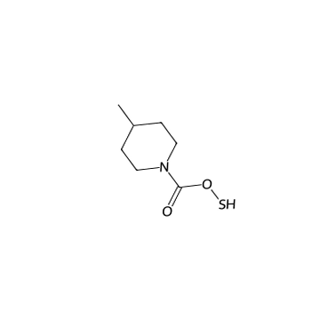 CC1CCN(C(=O)OS)CC1